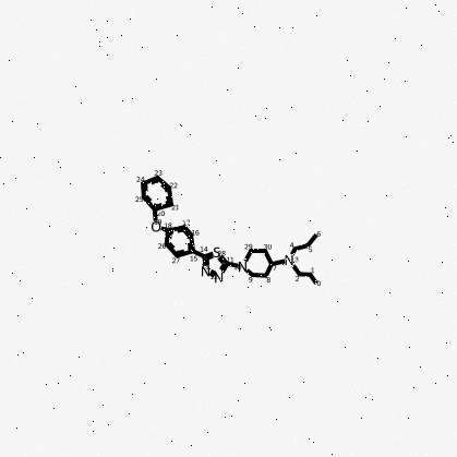 CCCN(CCC)C1CCN(c2nnc(-c3ccc(Oc4ccccc4)cc3)s2)CC1